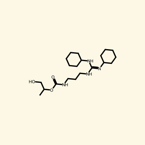 CC(CO)OC(=O)NCCCNC(=NC1CCCCC1)NC1CCCCC1